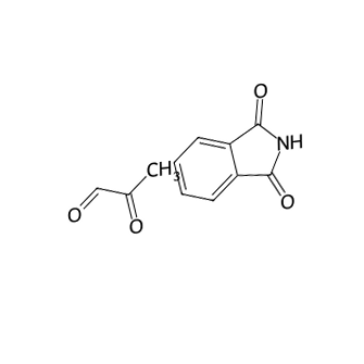 CC(=O)C=O.O=C1NC(=O)c2ccccc21